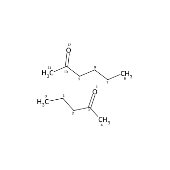 CCCC(C)=O.CCCCC(C)=O